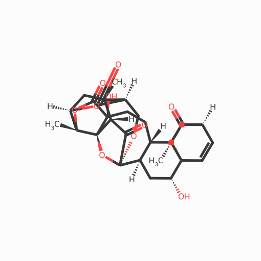 C[C@@]12C[C@H]3OC(=O)[C@@H]1CO[C@]14O[C@]5([C@H]2C1=O)[C@@](O)(CC[C@H]1[C@H]4C[C@@H](O)[C@@]24C=C[C@@H](OO2)C(=O)[C@]14C)C(=O)O[C@@]35C